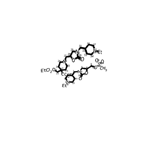 CCN1CCC(CN2CC(COS(C)(=O)=O)OC2=O)CC1.CCOC(=O)CC1(C(=O)OCC)CCN(CC2CN(CC3CCN(CC)CC3)C(=O)O2)CC1